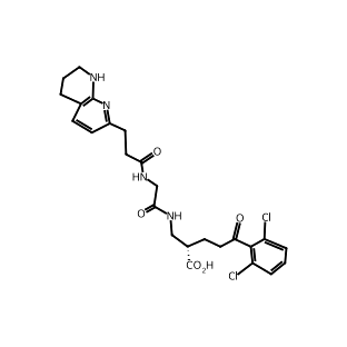 O=C(CCc1ccc2c(n1)NCCC2)NCC(=O)NC[C@H](CCC(=O)c1c(Cl)cccc1Cl)C(=O)O